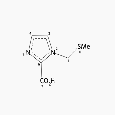 CSCn1ccnc1C(=O)O